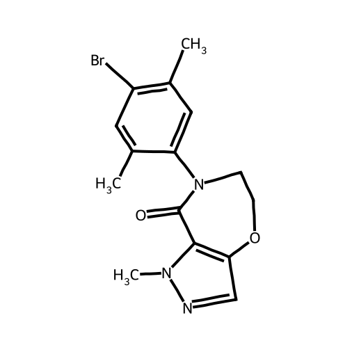 Cc1cc(N2CCOc3cnn(C)c3C2=O)c(C)cc1Br